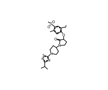 Cc1cc(OC2CCN(C3CCN(c4nc(C(C)C)ns4)CC3)C2=O)c(F)cc1S(C)(=O)=O